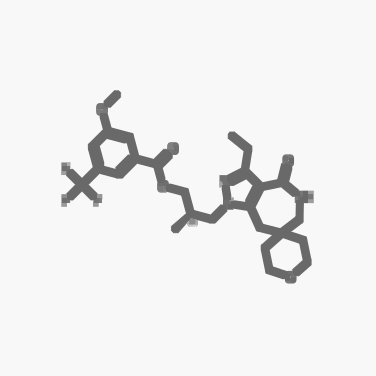 CCc1nn(C[C@@H](C)COC(=O)c2cc(OC)cc(C(F)(F)F)c2)c2c1C(=O)NCC1(CCOCC1)C2